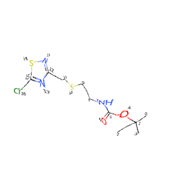 CC(C)(C)OC(=O)NCCSCc1nsc(Cl)n1